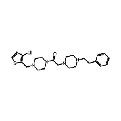 O=C(CN1CCN(CCc2ccccc2)CC1)N1CCN(Cc2sccc2Cl)CC1